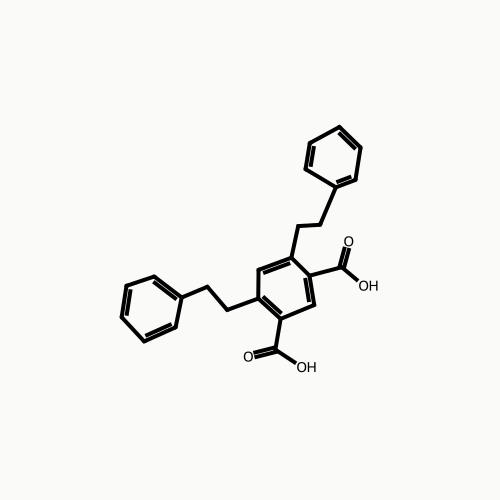 O=C(O)c1cc(C(=O)O)c(CCc2ccccc2)cc1CCc1ccccc1